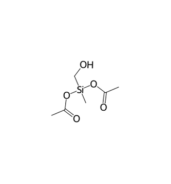 CC(=O)O[Si](C)(CO)OC(C)=O